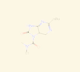 CCCCC1=NCC2C(=N1)NC(=O)N2C(=O)N(C)CC